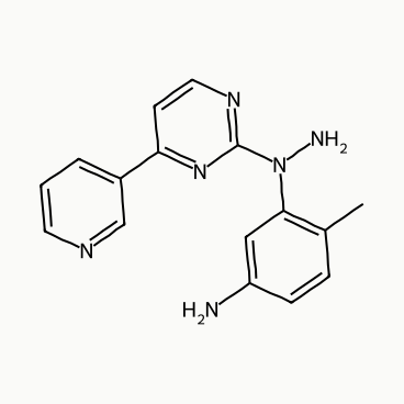 Cc1ccc(N)cc1N(N)c1nccc(-c2cccnc2)n1